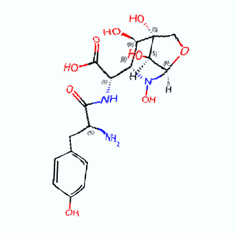 N[C@@H](Cc1ccc(O)cc1)C(=O)N[C@H](C(=O)O)[C@@H]1[C@@H](O)[C@@]2(O)CO[C@H]([C@H]2O)N1O